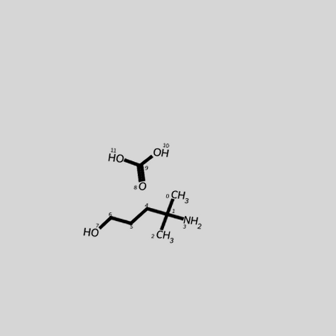 CC(C)(N)CCCO.O=C(O)O